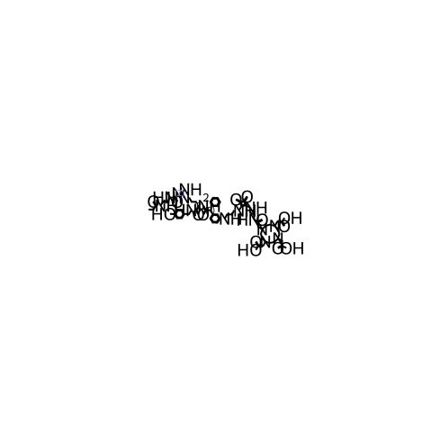 CCC(=O)NCCNC(=O)/N=C(/N)NCCC[C@@H](NC(=O)[C@H](c1ccccc1)c1cccc(NCCCNc2c(NCCNC(=O)CN3CCN(CC(=O)O)CCN(CC(=O)O)CCN(CC(=O)O)CC3)c(=O)c2=O)c1)C(=O)NCc1ccc(O)cc1